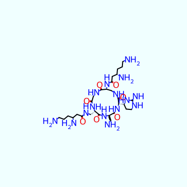 C[C@@H]1NC(=O)[C@@H](NC(=O)C[C@@H](N)CCCN)CNC(=O)[C@H](C2CCNC(=N)N2)NC(=O)/C(=C/N)NC(=O)[C@H](CNC(=O)C[C@@H](N)CCCN)NC1=O